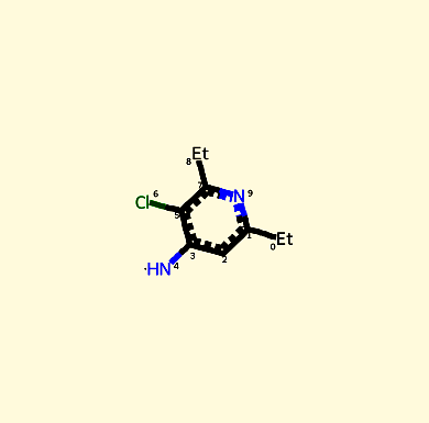 CCc1cc([NH])c(Cl)c(CC)n1